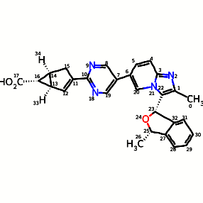 Cc1nc2ccc(-c3cnc(C4=C[C@@H]5[C@H](C4)[C@H]5C(=O)O)nc3)cn2c1[C@H]1O[C@@H](C)c2ccccc21